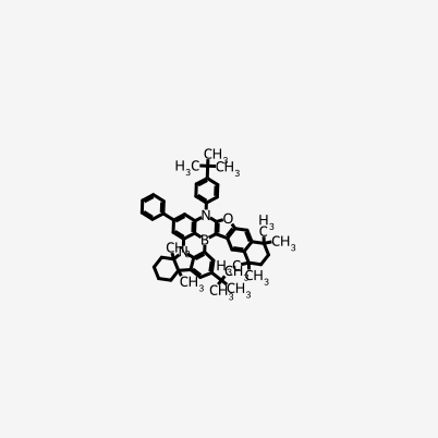 CC(C)(C)c1ccc(N2c3cc(-c4ccccc4)cc4c3B(c3cc(C(C)(C)C)cc5c3N4C3(C)CCCCC53C)c3c2oc2cc4c(cc32)C(C)(C)CCC4(C)C)cc1